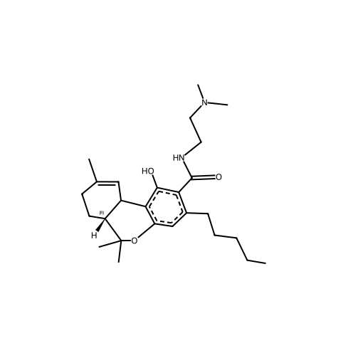 CCCCCc1cc2c(c(O)c1C(=O)NCCN(C)C)C1C=C(C)CC[C@H]1C(C)(C)O2